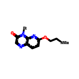 CCn1c(=O)cnc2ccc(OCCNC)nc21